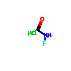 Cl.O=CNF